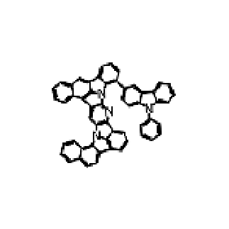 c1ccc(-n2c3ccccc3c3cc(-c4cccc5c6cc7ccccc7c7c8cc9c(nc8n(c45)c67)c4cccc5c6ccc7ccccc7c6n9c54)ccc32)cc1